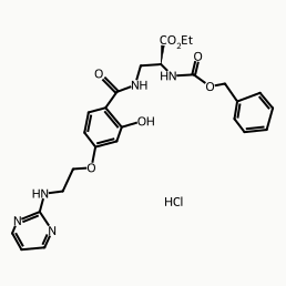 CCOC(=O)[C@H](CNC(=O)c1ccc(OCCNc2ncccn2)cc1O)NC(=O)OCc1ccccc1.Cl